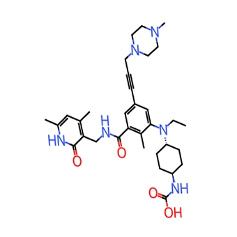 CCN(c1cc(C#CCN2CCN(C)CC2)cc(C(=O)NCc2c(C)cc(C)[nH]c2=O)c1C)[C@H]1CC[C@H](NC(=O)O)CC1